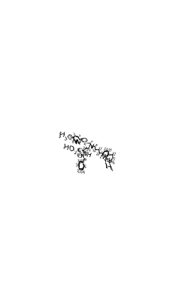 Cc1ccc(OCCN(CCCCc2ccc3c(n2)NCCC3)CCC(NC(=O)Cc2ccccc2)C(=O)O)nn1